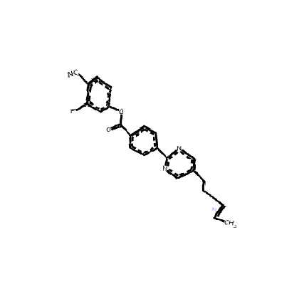 C/C=C/CCc1cnc(-c2ccc(C(=O)Oc3ccc(C#N)c(F)c3)cc2)nc1